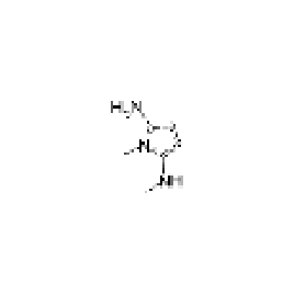 CNc1ccc(N)n1C